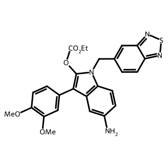 CCOC(=O)Oc1c(-c2ccc(OC)c(OC)c2)c2cc(N)ccc2n1Cc1ccc2nsnc2c1